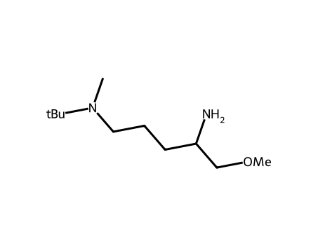 COCC(N)CCCN(C)C(C)(C)C